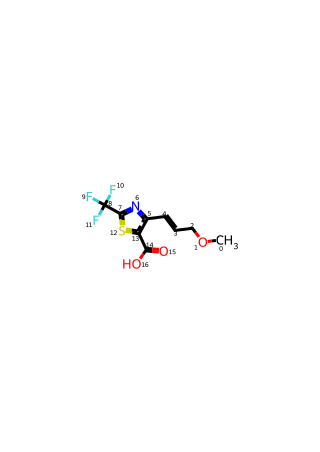 COCC=Cc1nc(C(F)(F)F)sc1C(=O)O